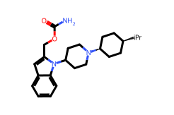 CC(C)[C@H]1CC[C@@H](N2CCC(n3c(COC(N)=O)cc4ccccc43)CC2)CC1